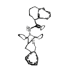 O=C(NN1C(=O)C2Cc3ccccc3CN2C1=O)C1CCCc2ccccc21